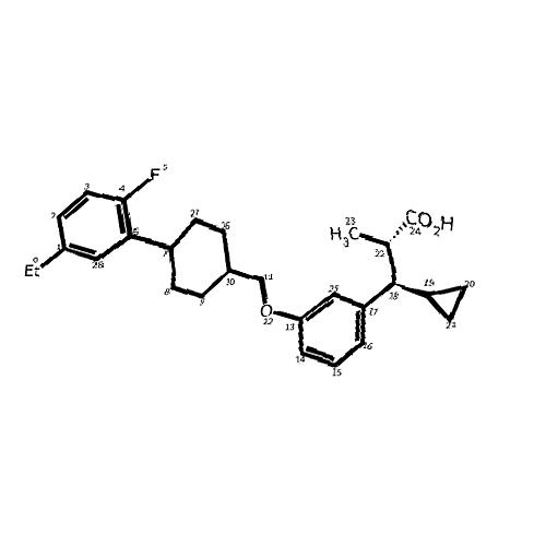 CCc1ccc(F)c(C2CCC(COc3cccc([C@H](C4CC4)[C@H](C)C(=O)O)c3)CC2)c1